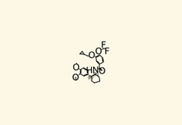 COc1ccc([C@H]2CCCC[C@H]2NC(=O)c2ccc(OC(F)F)c(OCC3CC3)c2)cc1OC